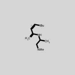 C=C(/C=C\C(C)(C)C)NC(C)CNC